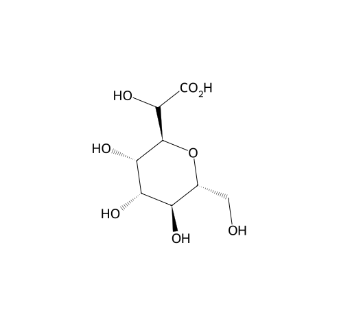 O=C(O)C(O)[C@H]1O[C@H](CO)[C@@H](O)[C@H](O)[C@@H]1O